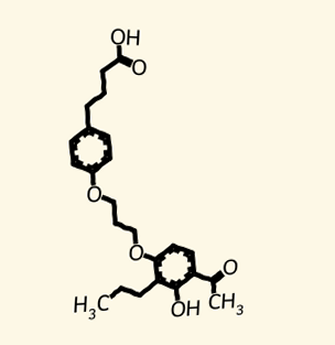 CCCc1c(OCCCOc2ccc(CCCC(=O)O)cc2)ccc(C(C)=O)c1O